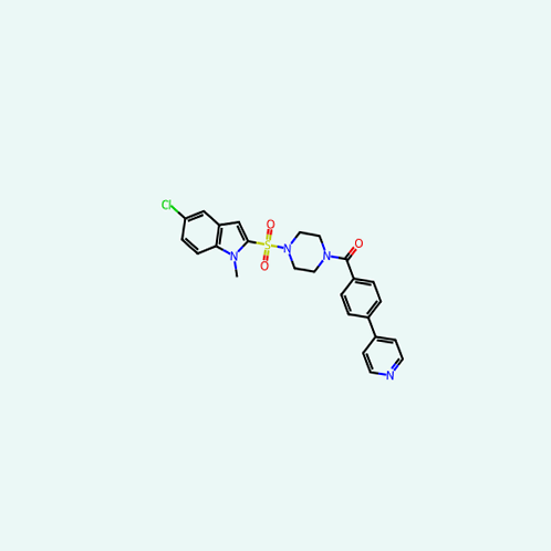 Cn1c(S(=O)(=O)N2CCN(C(=O)c3ccc(-c4ccncc4)cc3)CC2)cc2cc(Cl)ccc21